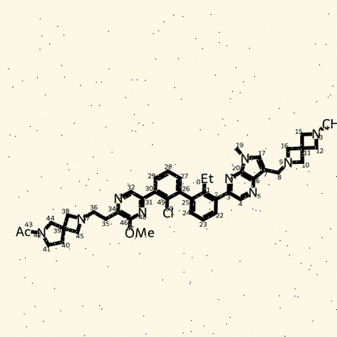 CCc1c(-c2cnc3c(CN4CC5(CN(C=O)C5)C4)cn(C)c3n2)cccc1-c1cccc(-c2cnc(CCN3CC4(CCN(C(C)=O)C4)C3)c(OC)n2)c1Cl